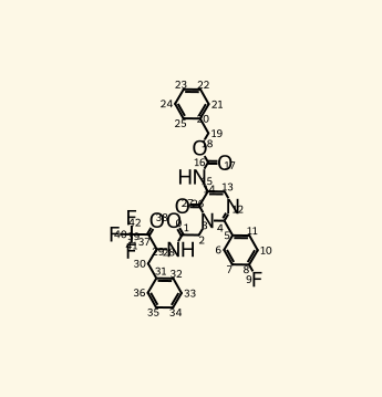 O=C(Cn1c(-c2ccc(F)cc2)ncc(NC(=O)OCc2ccccc2)c1=O)NC(Cc1ccccc1)C(=O)C(F)(F)F